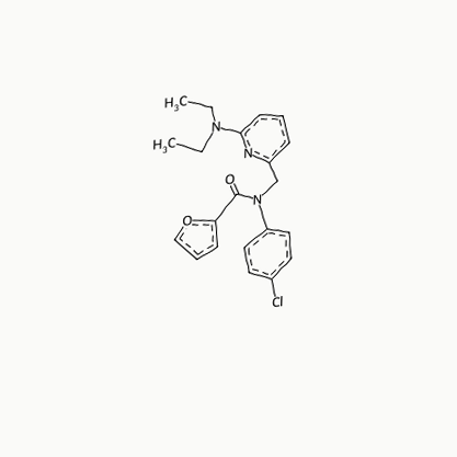 CCN(CC)c1cccc(CN(C(=O)c2ccco2)c2ccc(Cl)cc2)n1